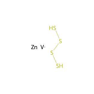 SSSS.[V].[Zn]